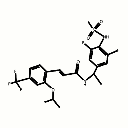 CC(C)Oc1cc(C(F)(F)F)ccc1C=CC(=O)NC(C)c1cc(F)c(NS(C)(=O)=O)c(F)c1